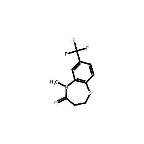 CN1C(=O)CCSc2ccc(C(F)(F)F)cc21